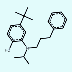 CC(C)N(CCCc1ccccc1)c1cc(C(C)(C)C)ccc1O